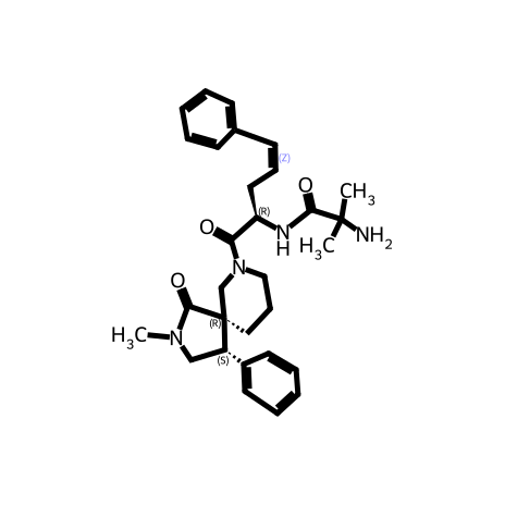 CN1C[C@@H](c2ccccc2)[C@@]2(CCCN(C(=O)[C@@H](C/C=C\c3ccccc3)NC(=O)C(C)(C)N)C2)C1=O